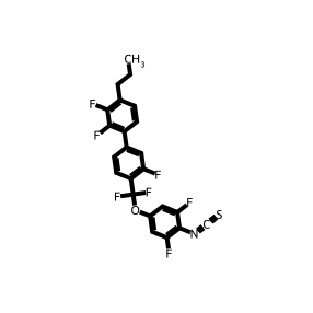 CCCc1ccc(-c2ccc(C(F)(F)Oc3cc(F)c(N=C=S)c(F)c3)c(F)c2)c(F)c1F